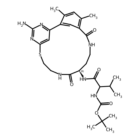 Cc1cc(C)c2cc1C(=O)NCC[C@@H](NC(=O)C(NC(=O)OC(C)(C)C)C(C)C)C(=O)NCCSc1cc-2nc(N)n1